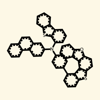 c1ccc2c(c1)ccc1cc(N(c3ccc(-c4cccc5sc6ccc7oc8ccccc8c7c6c45)cc3)c3cccc4c3sc3ccccc34)ccc12